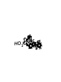 CC(=O)n1cccc1C(=O)NC(Cc1ccc2nc(-c3c(F)cccc3Cl)ccc2c1)C(=O)O